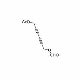 CC(=O)OCC#CC#CCOC=O